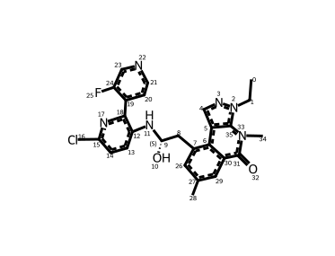 CCn1ncc2c3c(C[C@H](O)Nc4ccc(Cl)nc4-c4ccncc4F)cc(C)cc3c(=O)n(C)c21